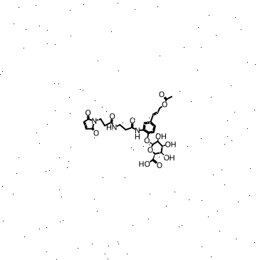 CC(=O)OC/C=C/c1ccc(O[C@@H]2O[C@H](C(=O)O)[C@H](O)[C@H](O)[C@@H]2O)c(NC(=O)CCNC(=O)CCN2C(=O)C=CC2=O)c1